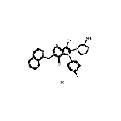 Cl.N#Cc1c(N2CCC[C@H](N)C2)n(-c2ccc(F)cc2)c2c(=O)n(Cc3nccc4ccccc34)cnc12